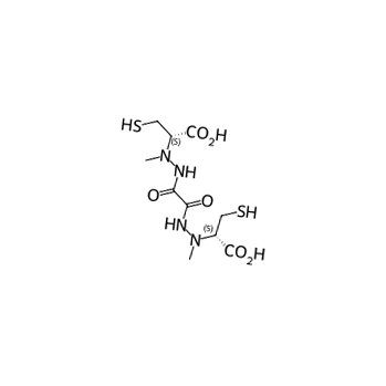 CN(NC(=O)C(=O)NN(C)[C@H](CS)C(=O)O)[C@H](CS)C(=O)O